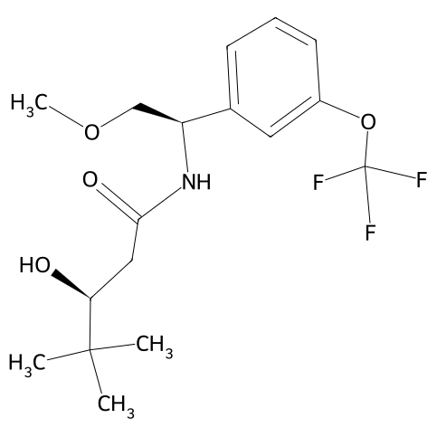 COC[C@H](NC(=O)C[C@H](O)C(C)(C)C)c1cccc(OC(F)(F)F)c1